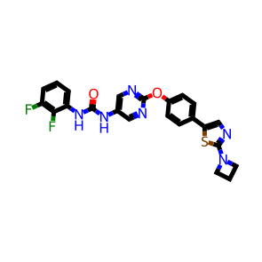 O=C(Nc1cnc(Oc2ccc(-c3cnc(N4CCC4)s3)cc2)nc1)Nc1cccc(F)c1F